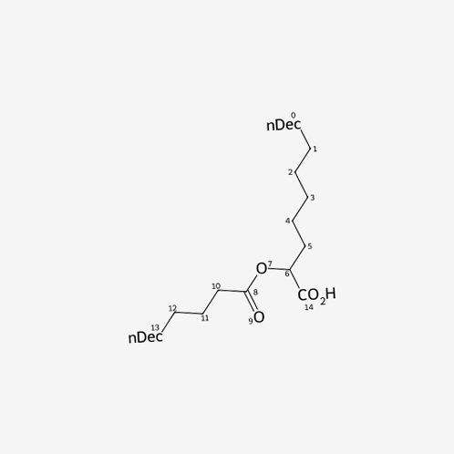 CCCCCCCCCCCCCCCC(OC(=O)CCCCCCCCCCCCC)C(=O)O